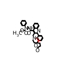 COC(=O)N(NC(=O)c1c(CN2CCC3(CCC(=O)O3)CC2)c(-c2ccccc2)nc2ccccc12)c1ccccc1